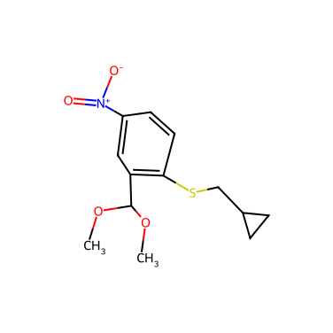 COC(OC)c1cc([N+](=O)[O-])ccc1SCC1CC1